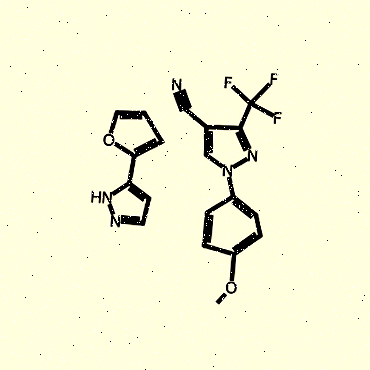 COc1ccc(-n2cc(C#N)c(C(F)(F)F)n2)cc1.c1coc(-c2ccn[nH]2)c1